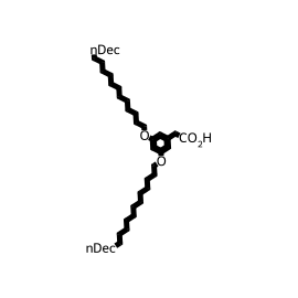 CCCCCCCCCCCCCCCCCCCCCCOc1cc(CC(=O)O)cc(OCCCCCCCCCCCCCCCCCCCCCC)c1